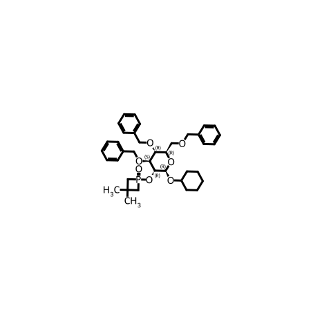 CC1(C)CP(=O)(O[C@H]2[C@H](OC3CCCCC3)O[C@H](COCc3ccccc3)[C@@H](OCc3ccccc3)[C@@H]2OCc2ccccc2)C1